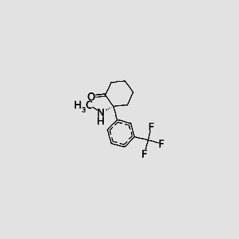 CN[C@@]1(c2cccc(C(F)(F)F)c2)CCCCC1=O